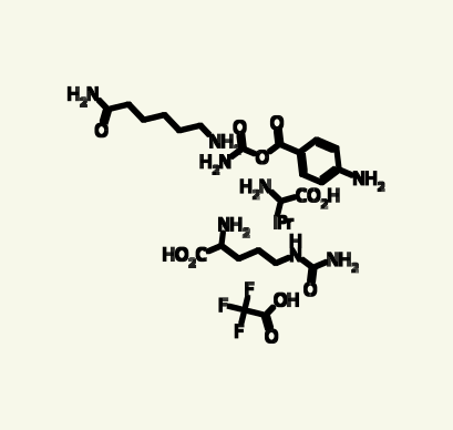 CC(C)C(N)C(=O)O.NC(=O)NCCCC(N)C(=O)O.NC(=O)OC(=O)c1ccc(N)cc1.NCCCCCC(N)=O.O=C(O)C(F)(F)F